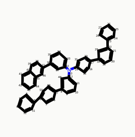 c1ccc(-c2ccc(-c3cccc(N(c4ccc(-c5cccc(-c6ccccc6)c5)cc4)c4cccc(-c5ccc6ccccc6c5)c4)c3)cc2)cc1